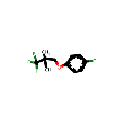 CC(C)(COc1ccc(F)cc1)C(F)(F)F